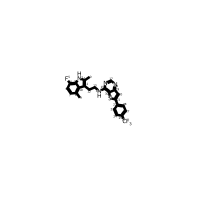 Cc1[nH]c2c(F)ccc(C)c2c1CCNc1ncnc2cc(-c3ccc(C(F)(F)F)cc3)sc12